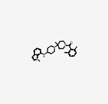 Cc1cccc(C)c1C(=O)N1CCC(C)(N2CCC(Nc3cccc4ccn(C)c34)CC2)CC1